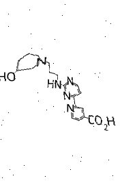 O=C(O)c1ccnc(-c2ccnc(NCCCN3CCCC(O)C3)n2)c1